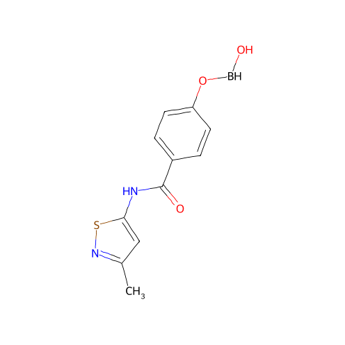 Cc1cc(NC(=O)c2ccc(OBO)cc2)sn1